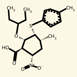 CCC(CC)O[C@@H]1[C@H](Sc2ccc(C)cc2)[C@H](C)C[C@H]([N+](=O)[O-])[C@H]1C(=O)O